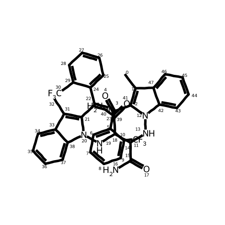 Cc1c(C(=O)c2ccccc2C(F)(F)F)n(NC(C(N)=O)C(Nn2c(C(=O)c3ccccc3C(F)(F)F)c(C)c3ccccc32)C(N)=O)c2ccccc12